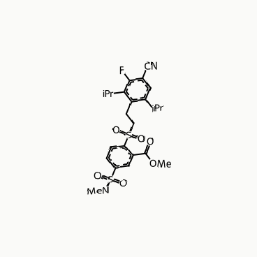 CNS(=O)(=O)c1ccc(S(=O)(=O)CCc2c(C(C)C)cc(C#N)c(F)c2C(C)C)c(C(=O)OC)c1